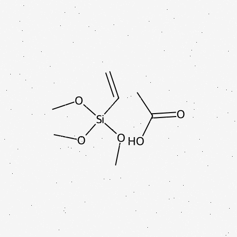 C=C[Si](OC)(OC)OC.CC(=O)O